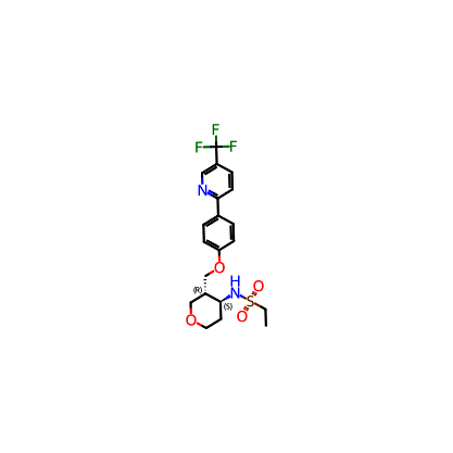 CCS(=O)(=O)N[C@H]1CCOC[C@@H]1COc1ccc(-c2ccc(C(F)(F)F)cn2)cc1